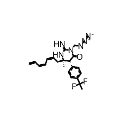 C=C/C=C\C=C/C[C@@]1(C)NC(=N)N(CN=[N+]=[N-])C(=O)[C@@H]1c1ccc(C(C)(F)F)cc1